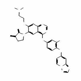 C=C1CCN(c2cc3c(Nc4ccc(Oc5ccn6ncnc6c5)c(Cl)c4)ncnc3cc2OCCN(C)C)C1=O